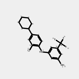 Nc1cc(Nc2ccc(C3CCCCC3)cc2Cl)cc(C(F)(F)F)c1